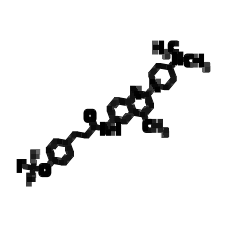 Cc1cc(N2CCC(N(C)C)CC2)nc2ccc(NC(=O)CCc3ccc(OC(F)(F)F)cc3)cc12